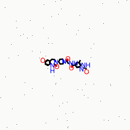 COCc1nc2cc(C(=O)NCC(=O)N3CCC(N4CCc5cc(OC)ccc5NC4=O)CC3)cc(C)c2[nH]1